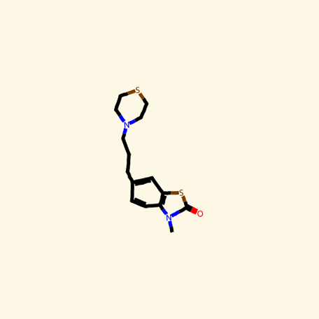 Cn1c(=O)sc2cc(CCCN3CCSCC3)ccc21